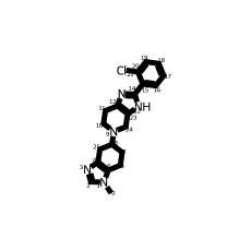 Cn1cnc2c1CCC(N1CCc3nc(-c4ccccc4Cl)[nH]c3C1)C2